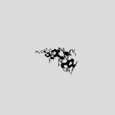 C=C[C@@H](Nc1nc(C)nc2cc(=O)n([C@]3(C(F)F)CCN(C(C)=O)C3)cc12)c1cccc(C(F)F)c1F